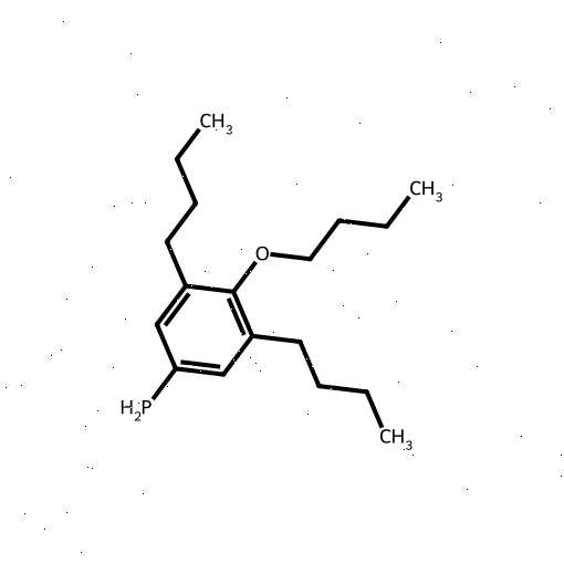 CCCCOc1c(CCCC)cc(P)cc1CCCC